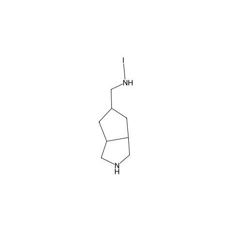 INCC1CC2CNCC2C1